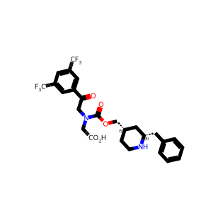 O=C(O)CN(CC(=O)c1cc(C(F)(F)F)cc(C(F)(F)F)c1)C(=O)OC[C@H]1CCN[C@@H](Cc2ccccc2)C1